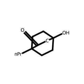 CCCC12CCC(O)(CC1)CC2=O